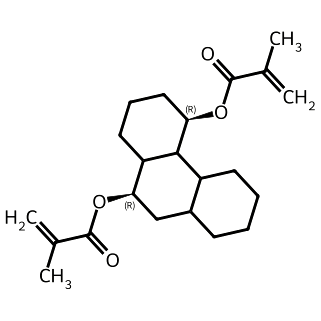 C=C(C)C(=O)O[C@@H]1CC2CCCCC2C2C1CCC[C@H]2OC(=O)C(=C)C